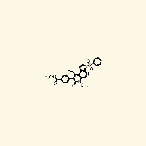 CCc1c(-c2ccc(C(=O)OC)cc2)c(=O)n(C)c2cnc3c(ccn3S(=O)(=O)c3ccccc3)c12